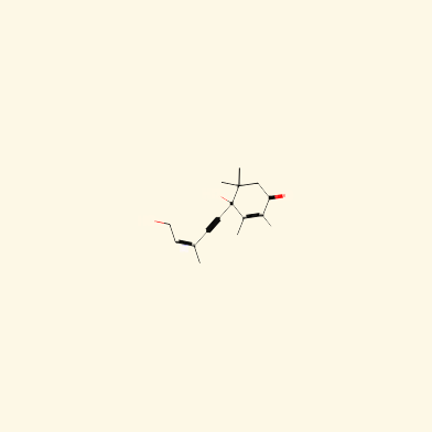 CCC1=C(C)C(O)(C#C/C(C)=C\CO)C(C)(C)CC1=O